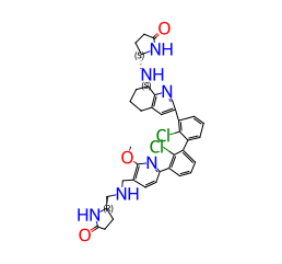 COc1nc(-c2cccc(-c3cccc(-c4cnc5c(c4)CCC[C@@H]5NC[C@@H]4CCC(=O)N4)c3Cl)c2Cl)ccc1CNC[C@H]1CCC(=O)N1